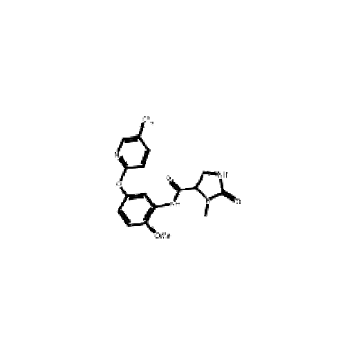 COc1ccc(Oc2ccc(C(F)(F)F)cn2)cc1NC(=O)C1CNC(=O)N1C